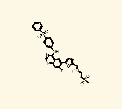 CS(=O)(=O)CCNCc1ccc(-c2cc3c(Nc4ccc(S(=O)(=O)c5ccccc5)cc4)ncnc3cc2F)o1